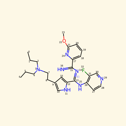 CCCN(CCC)CCc1c[nH]c(/C(=N\C(=N)c2cccc(OC)n2)Nc2ccncc2F)c1